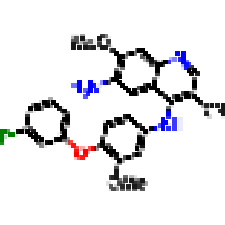 COc1cc2ncc(C#N)c(Nc3ccc(Oc4cccc(F)c4)c(OC)c3)c2cc1N